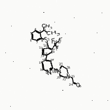 CC(C)c1ccccc1Sc1ccc(-c2ccnc(N3CCN(CC=O)CC3)c2)cc1C(F)(F)F